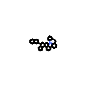 C1=Cc2ccccc2N(c2cc3cc(-c4ccc5ccccc5c4)c4ccccc4c3c3ccccc23)c2ccccc21